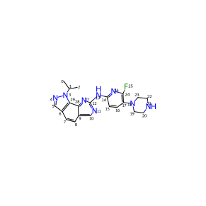 CC(C)n1ncc2ccc3cnc(Nc4ccc(N5CCNCC5)c(F)n4)nc3c21